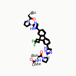 CC[C@H](C)CC(=O)N1CCC[C@H]1c1ncc(-c2ccc3c(c2)C2(CC(F)(F)C2)c2cc(-c4cnc([C@@H]5CCCN5C(=O)[C@@H](NC(=O)OC)[C@@H](C)CC)[nH]4)ccc2-3)[nH]1